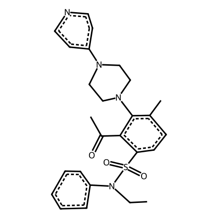 CCN(c1ccccc1)S(=O)(=O)c1ccc(C)c(N2CCN(c3ccncc3)CC2)c1C(C)=O